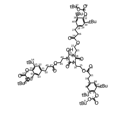 CC(C)(C)OC(=O)Oc1c(C(C)(C)C)cc(CCC(=O)OCCN2C(=O)N(CCOC(=O)CCc3cc(C(C)(C)C)c(OC(=O)OC(C)(C)C)c(C(C)(C)C)c3)C(O)N(CCOC(=O)CCc3cc(C(C)(C)C)c(OC(=O)OC(C)(C)C)c(C(C)(C)C)c3)C2=O)cc1C(C)(C)C